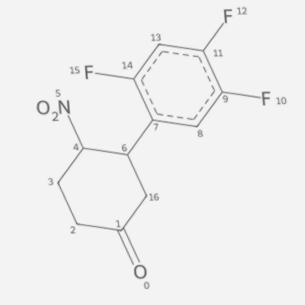 O=C1CCC([N+](=O)[O-])C(c2cc(F)c(F)cc2F)C1